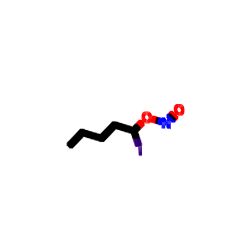 CCCCC(I)ON=O